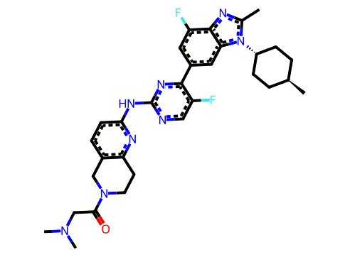 Cc1nc2c(F)cc(-c3nc(Nc4ccc5c(n4)CCN(C(=O)CN(C)C)C5)ncc3F)cc2n1[C@H]1CC[C@H](C)CC1